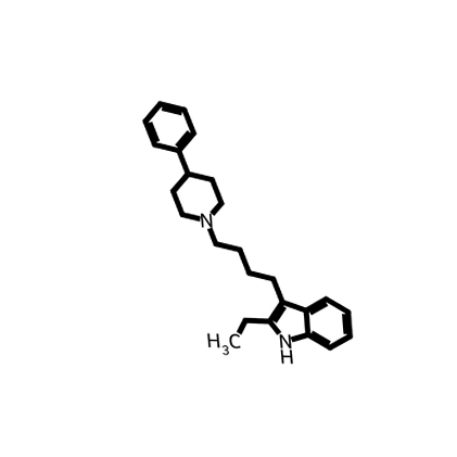 CCc1[nH]c2ccccc2c1CCCCN1CCC(c2ccccc2)CC1